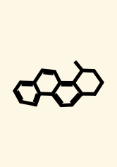 CC1CCCc2ccc3c(ccc4ccccc43)c21